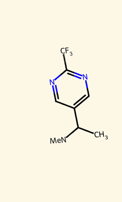 CNC(C)c1cnc(C(F)(F)F)nc1